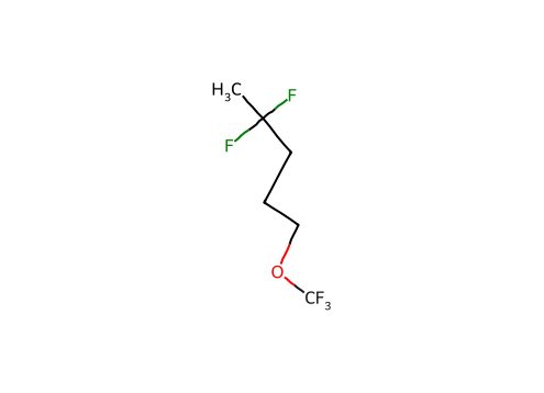 CC(F)(F)CCCOC(F)(F)F